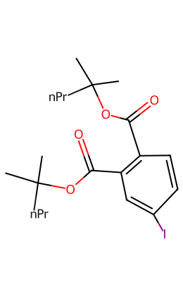 CCCC(C)(C)OC(=O)c1ccc(I)cc1C(=O)OC(C)(C)CCC